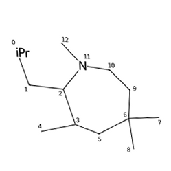 CC(C)CC1C(C)CC(C)(C)CCN1C